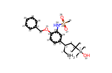 BC[C@H](CC(C)(C)[Si](C)(C)O)c1ccc(OCc2ccccc2)c(NS(C)(=O)=O)c1